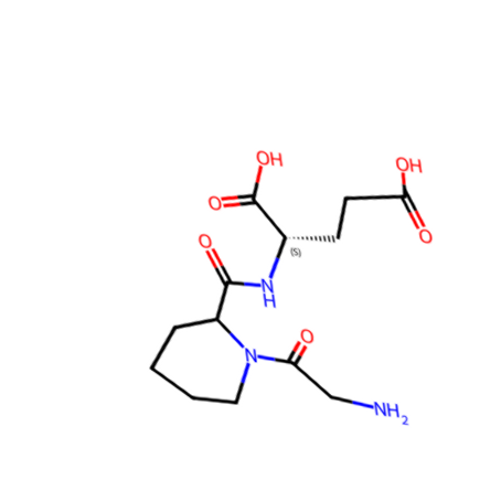 NCC(=O)N1CCCCC1C(=O)N[C@@H](CCC(=O)O)C(=O)O